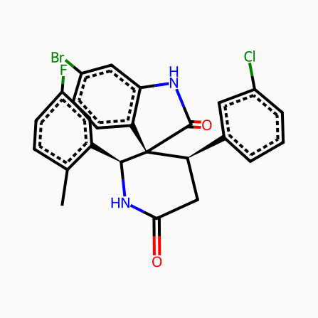 Cc1ccc(F)cc1[C@@H]1NC(=O)C[C@H](c2cccc(Cl)c2)[C@@]12C(=O)Nc1cc(Br)ccc12